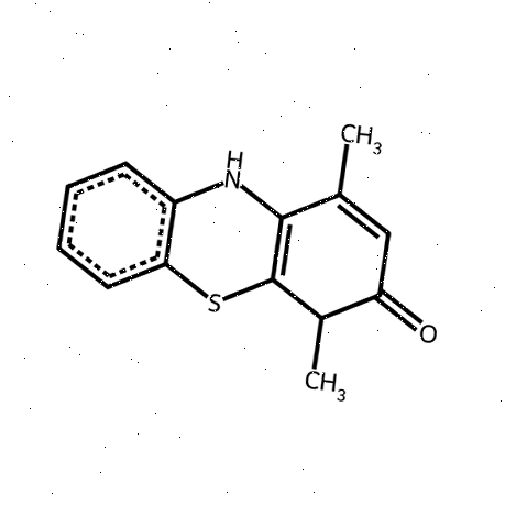 CC1=CC(=O)C(C)C2=C1Nc1ccccc1S2